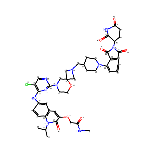 CNC(=O)COc1cc2cc(Nc3nc(N4CCOC5(CN(CC6CCN(c7cccc8c7C(=O)N(C7CCC(=O)NC7=O)C8=O)CC6)C5)C4)ncc3Cl)ccc2n(C(C)C)c1=O